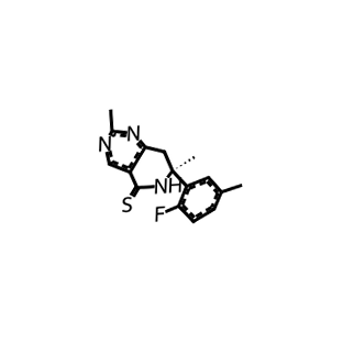 Cc1ccc(F)c([C@]2(C)Cc3nc(C)ncc3C(=S)N2)c1